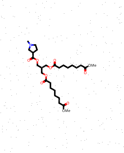 COC(=O)CCCCCCC(=O)OCC(COC(=O)CCCCCCC(=O)OC)COC(=O)C1CCN(C)C1